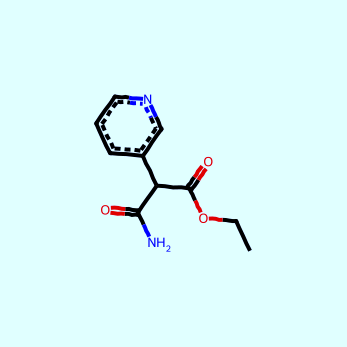 CCOC(=O)C(C(N)=O)c1cccnc1